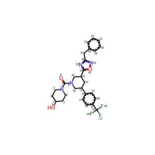 O=C(N1CCC(O)CC1)N1CC(c2ccc(C(F)(F)F)cc2)CC(c2nc(Cc3ccccc3)no2)C1